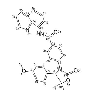 COc1ccc([C@H]2N(c3ccc(C(=O)Nc4cccc5cccnc45)cc3)C(=O)OC2(C)C)cc1